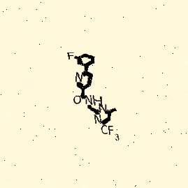 Cc1cc(C(F)(F)F)nc(CNC(=O)c2ccc(-c3cccc(F)c3)nc2)n1